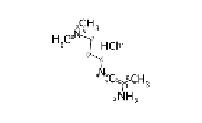 CC(N)=C=NCCCN(C)C.Cl